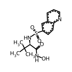 CC(C)(C)[C@@H](NS(=O)(=O)c1ccc2ncccc2c1)C(=O)NO